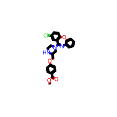 COC(=O)c1ccc(OCC2CN(C3=Nc4ccccc4Oc4ccc(Cl)cc43)CCN2)cc1